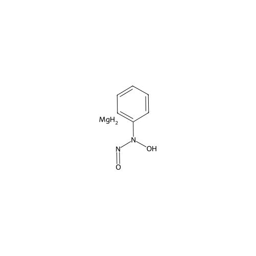 O=NN(O)c1ccccc1.[MgH2]